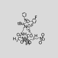 CC(C)[C@H](NC(=O)CCCCCN1C(=O)C=CC1=O)C(=O)N[C@@H](C)C(=O)NCCCN(C(=O)CSCCC(=O)O)[C@@H](c1cc(-c2cc(F)ccc2F)cn1Cc1ccccc1)C(C)(C)C